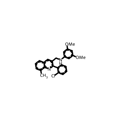 COc1cc(NCc2cc3cccc(C)c3nc2-c2ccccc2Cl)cc(OC)c1